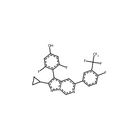 Oc1cc(F)c(-c2c(C3CC3)nn3cnc(-c4ccc(F)c(C(F)(F)C(F)(F)F)c4)cc23)c(F)c1